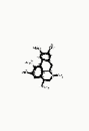 CCCCCCC1CN(C)C2Cc3cc(O)c(OC)cc3-c3c(OC)c(O)cc1c32